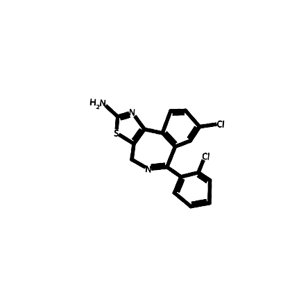 Nc1nc2c(s1)CN=C(c1ccccc1Cl)c1cc(Cl)ccc1-2